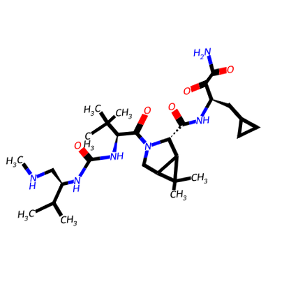 CNC[C@@H](NC(=O)N[C@H](C(=O)N1CC2C([C@H]1C(=O)N[C@H](CC1CC1)C(=O)C(N)=O)C2(C)C)C(C)(C)C)C(C)C